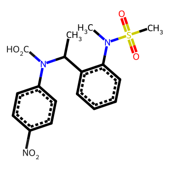 CC(c1ccccc1N(C)S(C)(=O)=O)N(C(=O)O)c1ccc([N+](=O)[O-])cc1